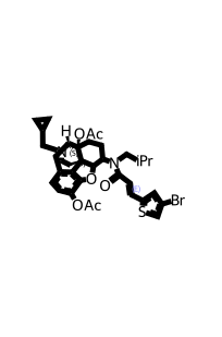 CC(=O)Oc1ccc2c3c1OC1C(N(CC(C)C)C(=O)/C=C/c4cc(Br)cs4)CC[C@@]4(OC(C)=O)[C@@H](C2)N(CC2CC2)CC[C@]314